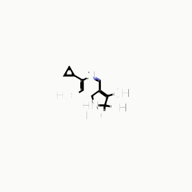 CC=C(/N=C\C1=C(C)C(C)(C)NC1)C1CC1